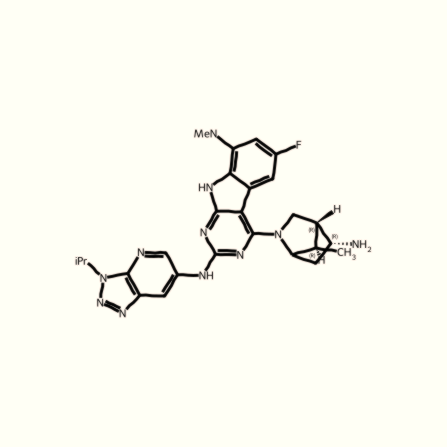 CNc1cc(F)cc2c1[nH]c1nc(Nc3cnc4c(c3)nnn4C(C)C)nc(N3C[C@@H]4[C@H](N)CC3[C@@H]4C)c12